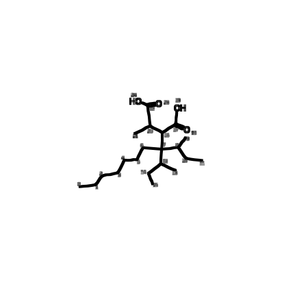 CCCCCCCC(C(C)CC)(C(C)CC)C(C(=O)O)C(C)C(=O)O